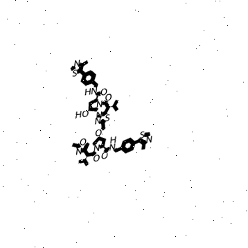 Cc1nc([C@H](C(=O)N2C[C@H](OCc3nnc([C@H](C(=O)N4C[C@H](O)C[C@H]4C(=O)NCc4ccc(-c5scnc5C)cc4)C(C)C)s3)C[C@H]2C(=O)NCc2ccc(-c3scnc3C)cc2)C(C)C)co1